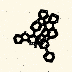 CC1(c2cc(-c3ccccc3)cc(-c3ccccc3)c2)N=c2c(sc3ccccc23)=C(c2ccc3c(c2)C2(C4=CC5C=CC=CC5C=C4Oc4ccccc42)c2ccccc2-3)N1